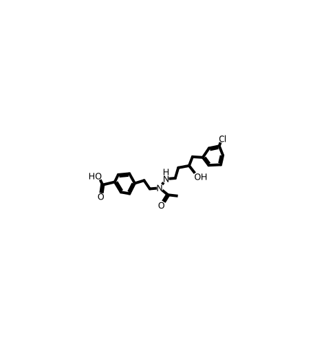 CC(=O)N(CCc1ccc(C(=O)O)cc1)NCCC(O)Cc1cccc(Cl)c1